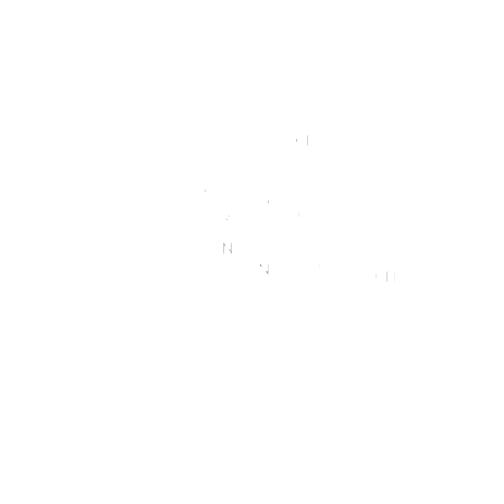 CCOC(=O)N1CCc2c(ccc3ccccc23)N1C(=O)OCC